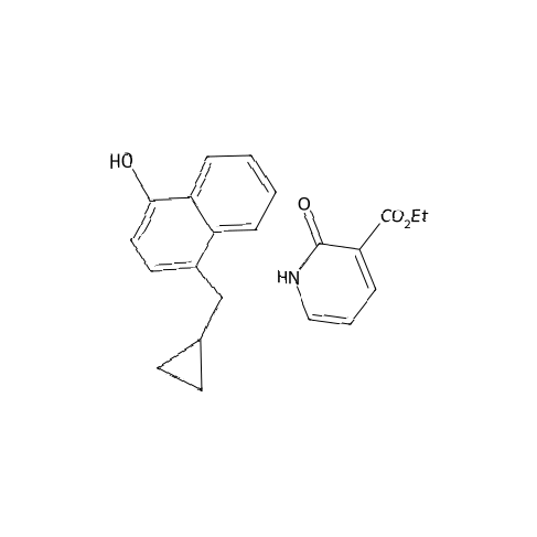 CCOC(=O)c1ccc[nH]c1=O.Oc1ccc(CC2CC2)c2ccccc12